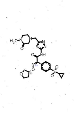 CN1CCN(Cc2nnc(NC(=O)/C(=N/O[C@@H]3CCOC3)c3ccc(S(=O)(=O)C4CC4)cc3)s2)CC1=O